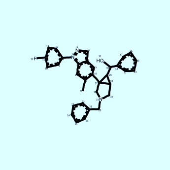 Cc1cc2c(cnn2-c2ccc(F)cc2)cc1C12CN(Cc3ccccc3)CC1C2C(O)c1ccccc1